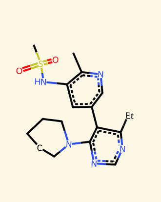 CCc1ncnc(N2CCCCC2)c1-c1cnc(C)c(NS(C)(=O)=O)c1